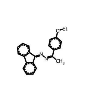 CCOc1ccc(C(C)=NN=C2c3ccccc3-c3ccccc32)cc1